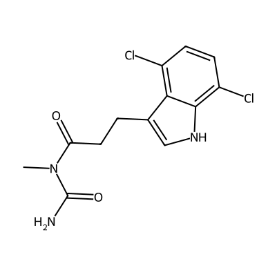 CN(C(N)=O)C(=O)CCc1c[nH]c2c(Cl)ccc(Cl)c12